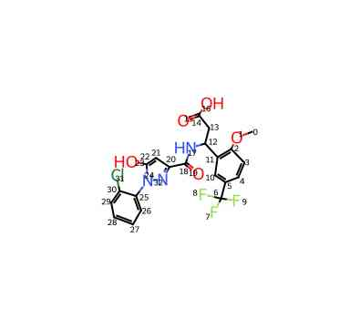 COc1ccc(C(F)(F)F)cc1C(CC(=O)O)NC(=O)c1cc(O)n(-c2ccccc2Cl)n1